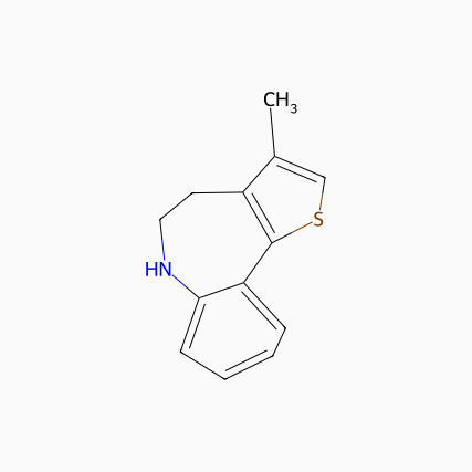 Cc1csc2c1CCNc1ccccc1-2